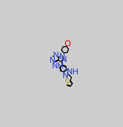 Nc1ncnc2c1c(-c1ccc3nc(Cc4cccs4)[nH]c3c1)nn2C1CCC(=O)CC1